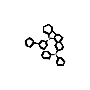 C1=c2c(n(-c3cccc(-c4ccccc4)c3)c3c2ccc2ccc(N(c4ccccc4)c4ccccc4)cc23)=CCC1